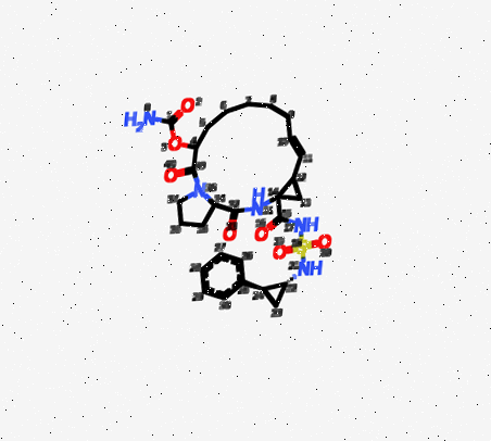 NC(=O)OC1CCCCC/C=C/C2CC2(C(=O)NS(=O)(=O)N[C@@H]2C[C@H]2c2ccccc2)NC(=O)C2CCCN2C1=O